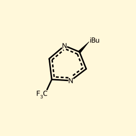 CC[C@H](C)c1cnc(C(F)(F)F)cn1